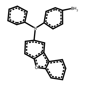 Bc1ccc(N(c2ccccc2)c2ccc3oc4ccccc4c3c2)cc1